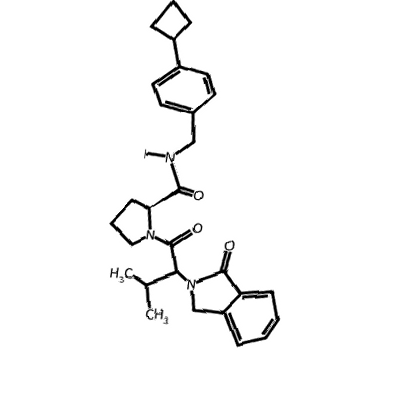 CC(C)C(C(=O)N1CCC[C@H]1C(=O)N(I)Cc1ccc(C2CCC2)cc1)N1Cc2ccccc2C1=O